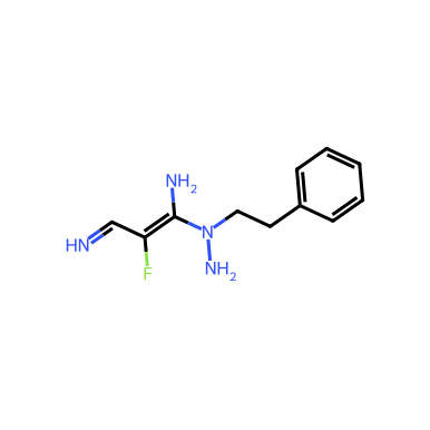 N=C/C(F)=C(\N)N(N)CCc1ccccc1